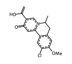 C=C(O)c1cn2c(cc1=O)-c1cc(Cl)c(OC)cc1CC2C